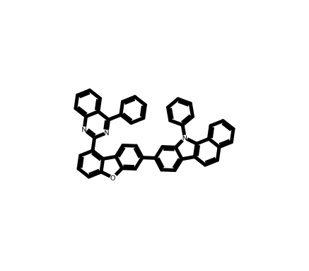 c1ccc(-c2nc(-c3cccc4oc5cc(-c6ccc7c8ccc9ccccc9c8n(-c8ccccc8)c7c6)ccc5c34)nc3ccccc23)cc1